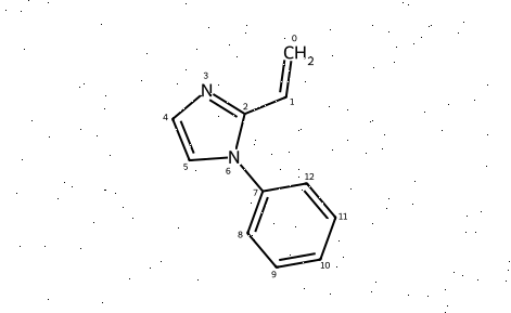 C=Cc1nccn1-c1ccccc1